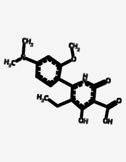 CCc1c(-c2ccc(N(C)C)cc2OC)[nH]c(=O)c(C(=O)O)c1O